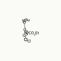 CCOC(=O)c1cc(OCCCCO[Si](C)(C)C(C)(C)C)nn1CC(=O)c1cccc(Cl)c1